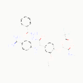 CCOc1cc(C(Nc2ccc(C(=N)N)cc2)C(=O)NNC(=O)c2ccccc2F)ccc1OC(OC(=O)C(F)(F)F)C(=O)N(C)C